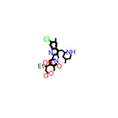 CCC1(O)CC(=O)OCc2c1cc1n(c2=O)Cc2c-1nc1cc(Cl)c(C)cc1c2CC1CC(C)CCN1